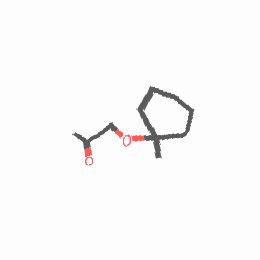 CC(=O)COC1(C)CCCCC1